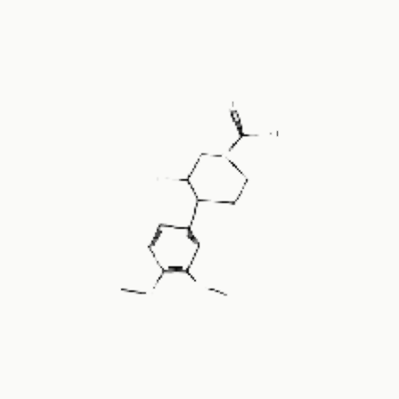 COc1ccc(C2CCN(C(=O)O)CC2O)cc1OC